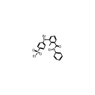 CCN(C(=O)c1cccc(N(C(C)=O)c2ccc(S(=O)(=O)CC)cc2)c1C)c1ccccc1